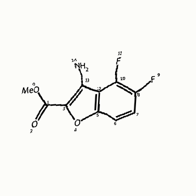 COC(=O)c1oc2ccc(F)c(F)c2c1N